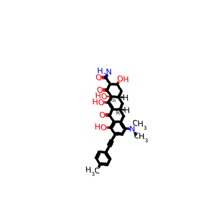 Cc1ccc(C#Cc2cc(N(C)C)c3c(c2O)C(=O)C2=C(O)[C@]4(O)C(=O)C(C(N)=O)C(O)C[C@@H]4C[C@@H]2C3)cc1